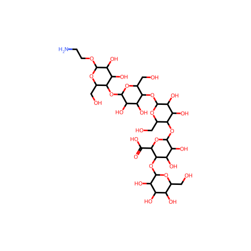 NCCOC1OC(CO)C(OC2OC(CO)C(OC3OC(CO)C(OC4OC(C(=O)O)C(OC5OC(CO)C(O)C(O)C5O)C(O)C4O)C(O)C3O)C(O)C2O)C(O)C1O